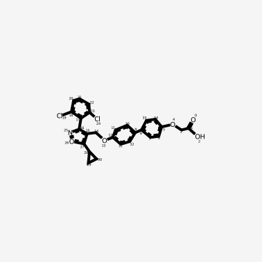 O=C(O)COc1ccc(-c2ccc(OCc3c(-c4c(Cl)cccc4Cl)noc3C3CC3)cc2)cc1